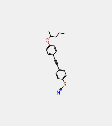 CCCC(C)Oc1ccc(C#Cc2ccc(SC#N)cc2)cc1